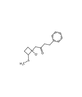 CSC1CC[N+]1([O-])CC(=O)CCc1ccccc1